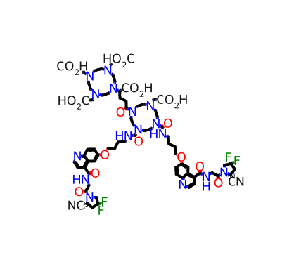 N#C[C@@H]1CC(F)(F)CN1C(=O)CNC(=O)c1ccnc2ccc(OCCCCNC(=O)N3CCN(CC(=O)O)CCN(C(=O)CCC(C(=O)O)N4CCN(CC(=O)O)CCN(CC(=O)O)CCN(CC(=O)O)CC4)CCN(C(=O)NCCCCOc4ccc5nccc(C(=O)NCC(=O)N6CC(F)(F)C[C@H]6C#N)c5c4)CC3)cc12